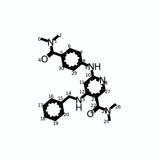 CN(C)C(=O)c1ccc(Nc2cc(NCc3ccccc3)c(C(=O)N(C)C)cn2)cc1